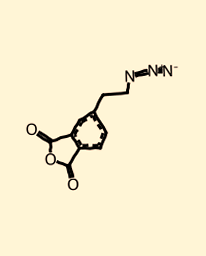 [N-]=[N+]=NCCc1ccc2c(c1)C(=O)OC2=O